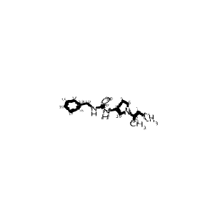 CCC(C)N1CCC(NC(=O)NCc2ccccc2)C1